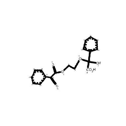 O=C(OCCOC(O)(C(=O)O)c1ccccc1)C(=O)c1ccccc1